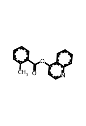 Cc1ccccc1C(=O)Oc1ccnc2ccccc12